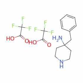 NC1(Cc2ccccc2)CCNCC1.O=C(O)C(F)(F)F.O=C(O)C(F)(F)F